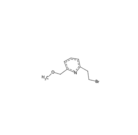 COCc1cccc(CCBr)n1